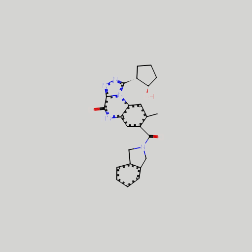 Cc1cc2c(cc1C(=O)N1Cc3ccccc3C1)[nH]c(=O)c1nnc([C@H]3CCC[C@H]3O)n12